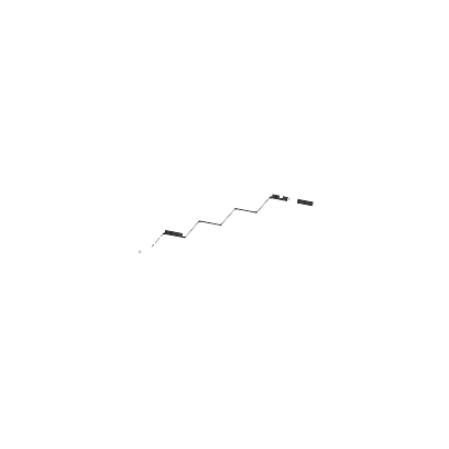 C=C=CCCCCC=CCCCC